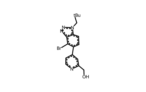 CC(C)(C)Cn1nnc2c(Br)c(-c3ccnc(CO)c3)ccc21